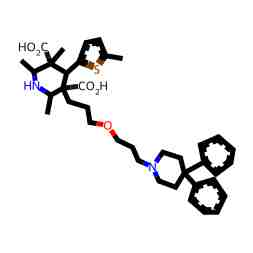 Cc1ccc(C2C(C)(C(=O)O)C(C)NC(C)C2(CCCOCCCN2CCC(c3ccccc3)(c3ccccc3)CC2)C(=O)O)s1